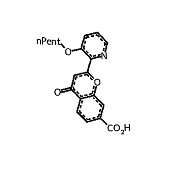 CCCCCOc1cccnc1-c1cc(=O)c2ccc(C(=O)O)cc2o1